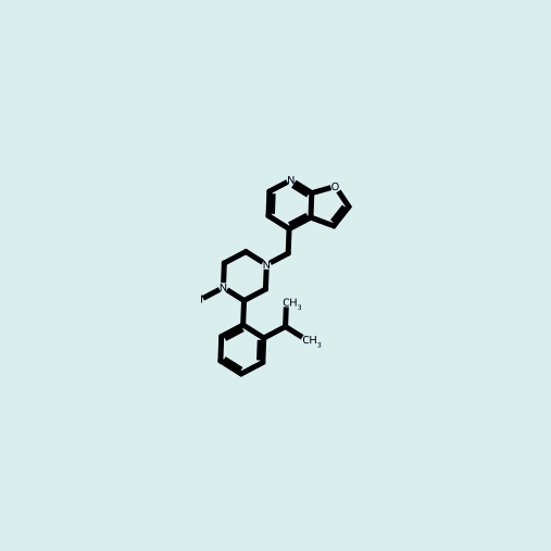 CC(C)c1ccccc1C1CN(Cc2ccnc3occc23)CCN1I